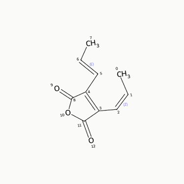 C/C=C\C1=C(/C=C/C)C(=O)OC1=O